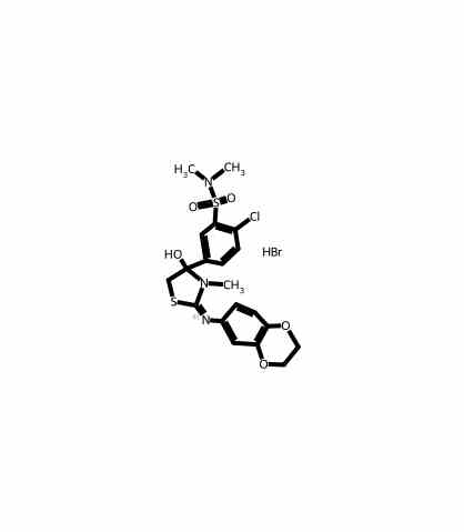 Br.CN1/C(=N\c2ccc3c(c2)OCCO3)SCC1(O)c1ccc(Cl)c(S(=O)(=O)N(C)C)c1